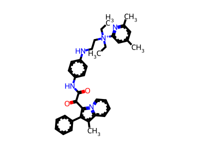 CC[N+](CC)(CCNc1ccc(NC(=O)C(=O)c2c(-c3ccccc3)c(C)c3ccccn23)cc1)c1cc(C)cc(C)n1